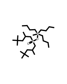 CCCCP(C)(CCCC)(CCCC)OP(=O)(CC(C)CC(C)(C)C)CC(C)CC(C)(C)C